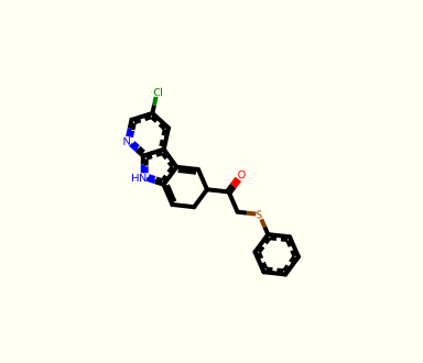 O=C(CSc1ccccc1)C1C=c2c([nH]c3ncc(Cl)cc23)=CC1